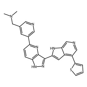 CN(C)Cc1cncc(-c2ccc3[nH]nc(-c4cc5c(-c6cccs6)cncc5[nH]4)c3n2)c1